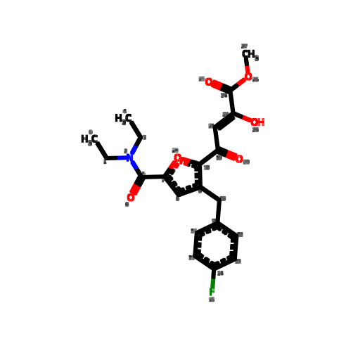 CCN(CC)C(=O)c1cc(Cc2ccc(F)cc2)c(C(=O)/C=C(\O)C(=O)OC)o1